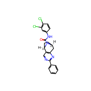 O=C(Nc1ccc(Cl)c(Cl)c1)N1[C@H]2CC[C@@H]1c1cnc(-c3ccccc3)nc1C2